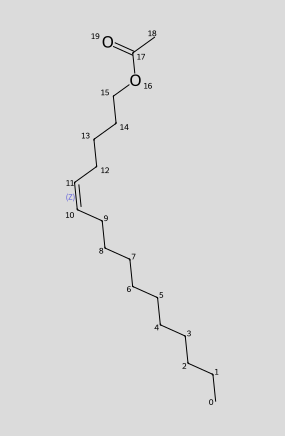 CCCCCCCCCC/C=C\CCCCOC(C)=O